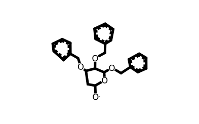 [O]C1CC(OCc2ccccc2)C(OCc2ccccc2)C(OCc2ccccc2)O1